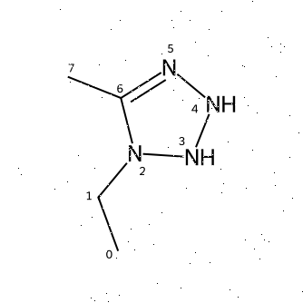 CCN1NNN=C1C